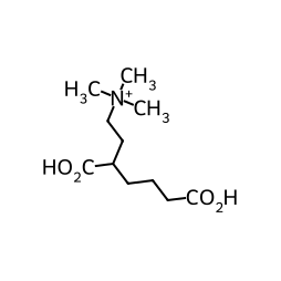 C[N+](C)(C)CCC(CCCC(=O)O)C(=O)O